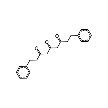 O=C(CCc1ccccc1)CC(=O)CC(=O)CCc1ccccc1